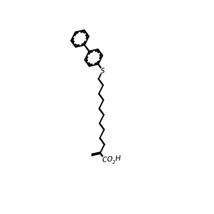 C=C(CCCCCCCCCCSc1ccc(-c2ccccc2)cc1)C(=O)O